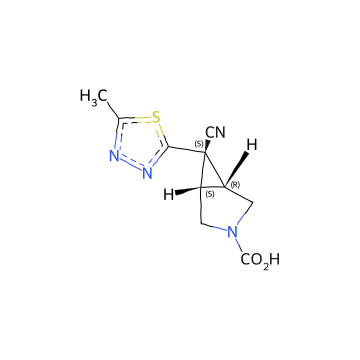 Cc1nnc([C@]2(C#N)[C@@H]3CN(C(=O)O)C[C@@H]32)s1